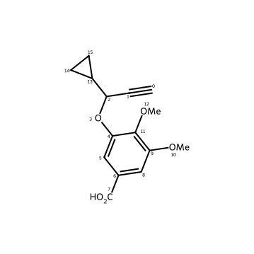 C#CC(Oc1cc(C(=O)O)cc(OC)c1OC)C1CC1